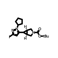 CC(C)(C)OC(=O)N1C[C@@H]2C(c3cc(I)nn3C3CCCC3)[C@@H]2C1